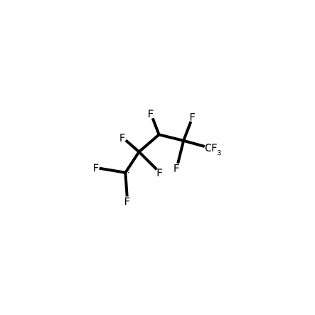 F[C](F)C(F)(F)C(F)C(F)(F)C(F)(F)F